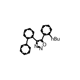 CCCCc1ccccc1-c1onnc1-c1ccccc1-c1ccccc1